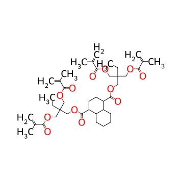 C=C(C)C(=O)OCC(CC)(COC(=O)C(=C)C)COC(=O)C1CCC(C(=O)OCC(CC)(COC(=O)C(=C)C)COC(=O)C(=C)C)C2CCCCC12